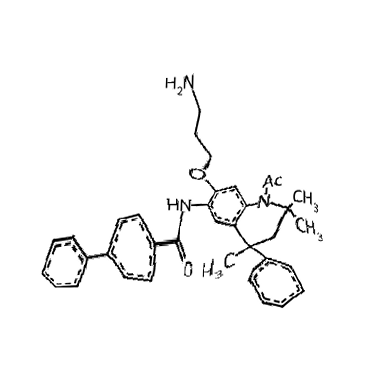 CC(=O)N1c2cc(OCCCN)c(NC(=O)c3ccc(-c4ccccc4)cc3)cc2C(C)(c2ccccc2)CC1(C)C